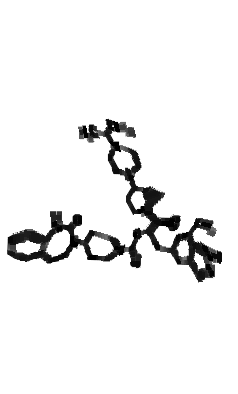 Cc1cc(CC(OC(=O)N2CCC(N3CCc4ccccc4NC3=O)CC2)C(=O)N2CCC(N3CCN(C(C)C)CC3)CC2)cc2cn[nH]c12